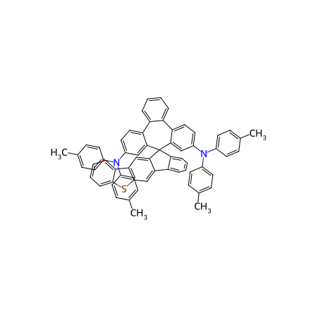 Cc1ccc(N(c2ccc(C)cc2)c2ccc3c(c2)C2(c4cc(N(c5ccc(C)cc5)c5ccc(C)cc5)ccc4-c4ccccc4-3)c3ccccc3-c3cc4sc5ccccc5c4cc32)cc1